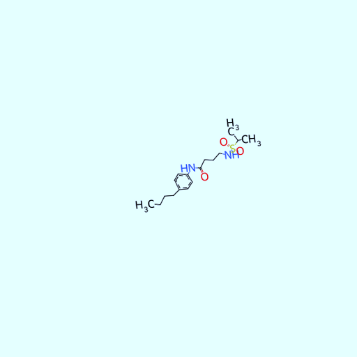 CCCCc1ccc(NC(=O)CCCNS(=O)(=O)C(C)C)cc1